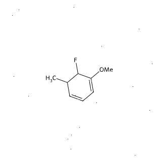 COC1=CC=CC(C)C1F